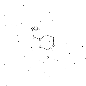 CCOC(=O)CN1CCOC(=O)S1